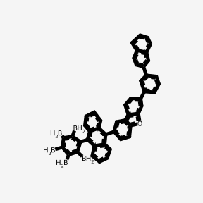 Bc1c(B)c(B)c(-c2c3ccccc3c(-c3ccc4oc5cc(-c6cccc(-c7ccc8ccccc8c7)c6)ccc5c4c3)c3ccccc23)c(B)c1B